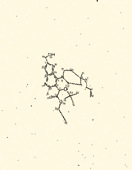 C=CCOC1(C)CCN(c2c(C(OC(C)(C)C)C(=O)OCC)c(C)nc3cc(CO)nn23)CC1